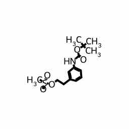 CC(C)(C)OC(=O)Nc1cccc(CCOS(C)(=O)=O)c1